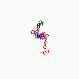 C=C[C@@H]1C[C@]1(NC(=O)[C@@H]1C[C@@H](OC(=O)N2Cc3cccc(F)c3C2)CN1C(=O)OC(C)C)C(=O)NS(=O)(=O)c1ccccc1NCCOCCOCCC(=O)O